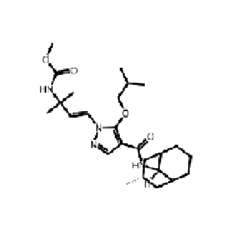 COC(=O)NC(C)(C)/C=C/n1ncc(C(=O)N[C@H]2C3CCCC2C[C@@H](C)C3)c1OCC(C)C